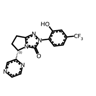 O=c1n(-c2ccc(C(F)(F)F)cc2O)nc2n1[C@H](c1cnccn1)CC2